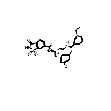 CCc1cccc(CNCC[C@@H](Cc2cc(F)cc(F)c2)NC(=O)c2ccc3c(c2)S(=O)(=O)NC3=O)c1